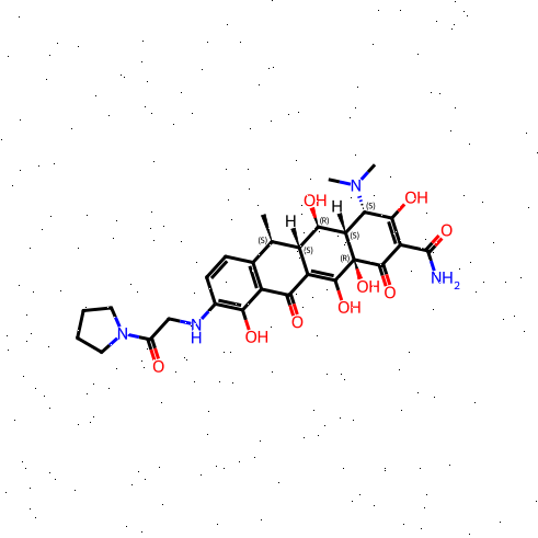 C[C@@H]1c2ccc(NCC(=O)N3CCCC3)c(O)c2C(=O)C2=C(O)[C@@]3(O)C(=O)C(C(N)=O)=C(O)[C@@H](N(C)C)[C@H]3[C@H](O)[C@H]21